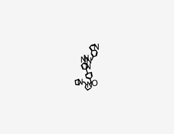 O=C(c1ccc(-c2ccc3nnn(Cc4ccc5ncccc5c4)c3n2)cc1)N1CCCC1CN1CCCC1